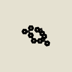 c1ccc(N(c2ccccc2)c2ccc(-c3cccc(-c4ccc5c(c4)c4c6cc7c(cc6ccc4n5-c4ccccc4)sc4ccccc47)c3)cc2)cc1